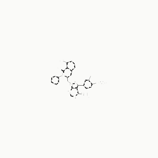 COc1ccc(-c2nn([C@H](C)c3cc4cccc(Cl)c4c(=O)n3-c3ccccc3)c3ncnc(N)c23)cc1C